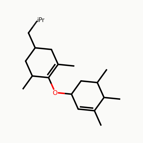 CC1=CC(OC2=C(C)CC(CC(C)C)CC2C)CC(C)C1C